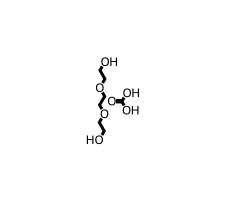 O=C(O)O.OCCOCCOCCO